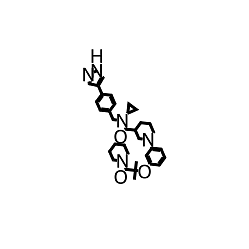 CC(C)(Oc1cccc(N2CCCC(C(=O)N(Cc3ccc(-c4cn[nH]c4)cc3)C3CC3)C2)c1)C(=O)N1CCCCC1